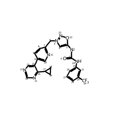 O=C([N-]c1c[n+](Cc2ccc(-c3cncnc3C3CC3)cn2)no1)Nc1cccc(C(F)(F)F)c1